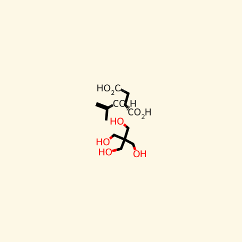 C=C(C)C(=O)O.O=C(O)CCC(=O)O.OCC(CO)(CO)CO